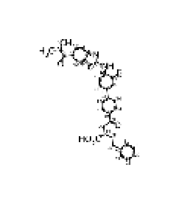 CN(C)C(=O)c1ccc2nc(Nc3ccc(-c4ccc(C(=O)CC(CCc5ccccc5)C(=O)O)cc4)cc3F)oc2c1